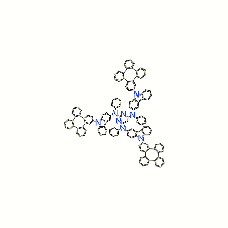 c1ccc(N(c2ccc3c(c2)c2ccccc2n3-c2ccc3c(c2)-c2ccccc2-c2ccccc2-c2ccccc2-3)c2cc(N(c3ccccc3)c3ccc4c(c3)c3ccccc3n4-c3ccc4c(c3)-c3ccccc3-c3ccccc3-c3ccccc3-4)nc(N(c3ccccc3)c3ccc4c(c3)c3ccccc3n4-c3ccc4c(c3)-c3ccccc3-c3ccccc3-c3ccccc3-4)n2)cc1